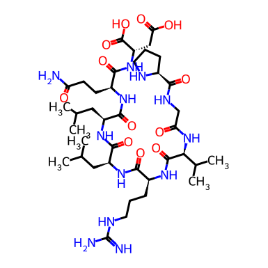 CC(C)C[C@H](NC(=O)[C@H](CC(C)C)NC(=O)[C@H](CCCNC(=N)N)NC(=O)[C@@H](NC(=O)CNC(=O)[C@@H]1CCCN1)C(C)C)C(=O)N[C@@H](CCC(N)=O)C(=O)N[C@@H](CC(=O)O)C(=O)O